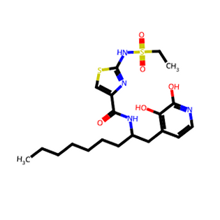 CCCCCCCC(Cc1ccnc(O)c1O)NC(=O)c1csc(NS(=O)(=O)CC)n1